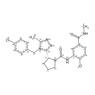 CNC(=O)c1ccc(Cl)c(NC(=O)N2CCC[C@@H]2c2nnc(C)n2Cc2ccc(Cl)cc2)c1